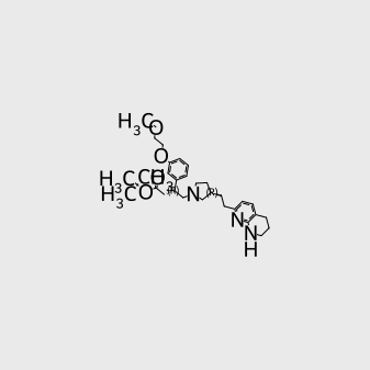 COCCOc1cccc([C@@H](CC(=O)OC(C)(C)C)CN2CC[C@@H](CCc3ccc4c(n3)NCCC4)C2)c1